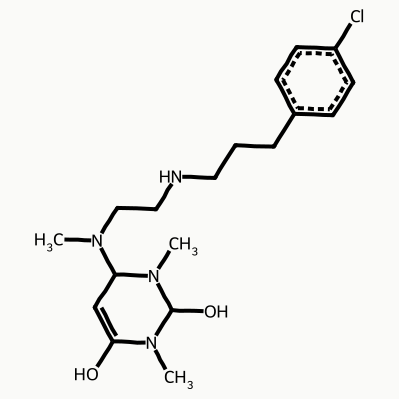 CN(CCNCCCc1ccc(Cl)cc1)C1C=C(O)N(C)C(O)N1C